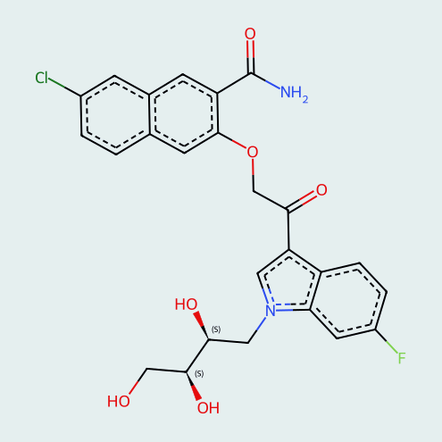 NC(=O)c1cc2cc(Cl)ccc2cc1OCC(=O)c1cn(C[C@H](O)[C@@H](O)CO)c2cc(F)ccc12